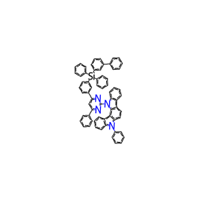 c1ccc(-c2cccc([Si](c3ccccc3)(c3ccccc3)c3cccc(-c4cc(-c5ccccc5)nc(-n5c6ccccc6c6ccc7c(c8ccccc8n7-c7ccccc7)c65)n4)c3)c2)cc1